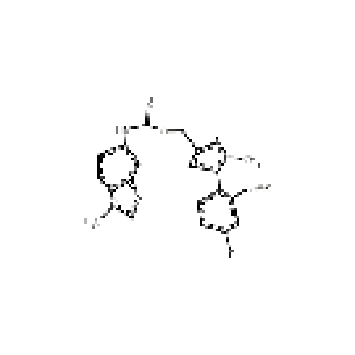 COc1cc(F)ccc1-c1cc(COC(=O)Nc2ccc3c(c2)ncn3C)nn1C